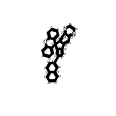 c1ccc2c(c1)Oc1ccccc1C21c2cc(-c3ccc4ccccc4c3)ccc2-c2cc3nccnc3cc21